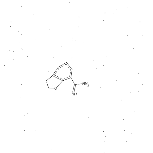 N=C(N)c1cccc2c1OCC2